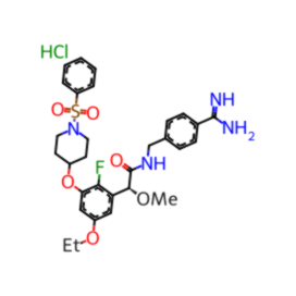 CCOc1cc(OC2CCN(S(=O)(=O)c3ccccc3)CC2)c(F)c([C@H](OC)C(=O)NCc2ccc(C(=N)N)cc2)c1.Cl